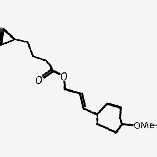 COC1CCC(C=CCOC(=O)CCCC2CC2)CC1